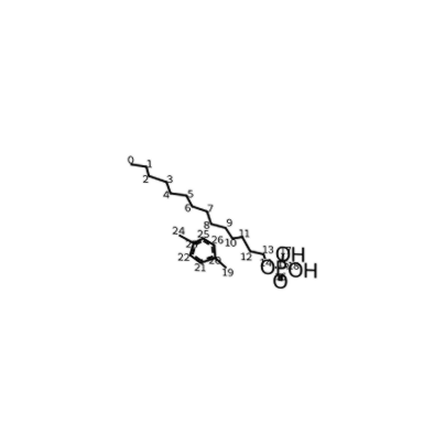 CCCCCCCCCCCCCCOP(=O)(O)O.Cc1ccc(C)cc1